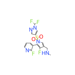 CNCc1cn(S(=O)(=O)c2cnn(C(F)F)c2)c(-c2cccnc2F)c1F